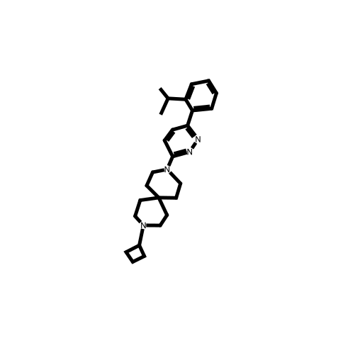 CC(C)c1ccccc1-c1ccc(N2CCC3(CC2)CCN(C2CCC2)CC3)nn1